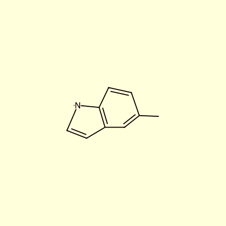 Cc1ccc2c(c1)C=C[N]2